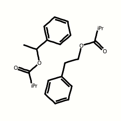 CC(C)C(=O)OC(C)c1ccccc1.CC(C)C(=O)OCCc1ccccc1